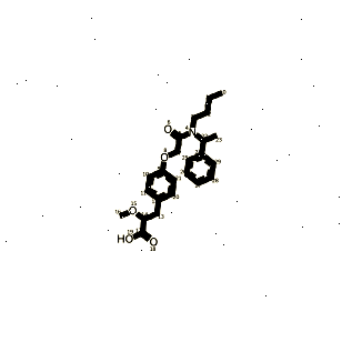 CCCCN(C(=O)COc1ccc(CC(OC)C(=O)O)cc1)C(C)c1ccccc1